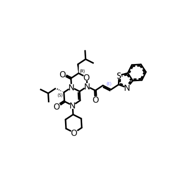 CC(C)C[C@H]1ON(C(=O)/C=C/c2nc3ccccc3s2)C2=CN(C3CCOCC3)C(=O)[C@H](CC(C)C)N2C1=O